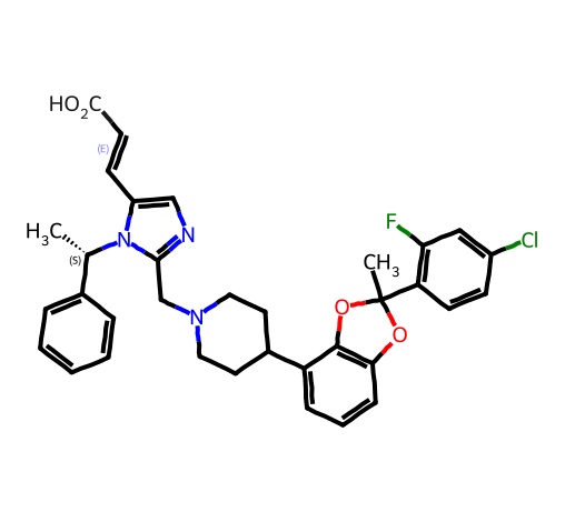 C[C@@H](c1ccccc1)n1c(/C=C/C(=O)O)cnc1CN1CCC(c2cccc3c2OC(C)(c2ccc(Cl)cc2F)O3)CC1